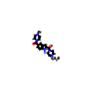 CC(C)N1CCN(C(=O)c2ccc3[nH]c(C(=O)N4CCN(C(=O)O)CC4)cc3c2)CC1